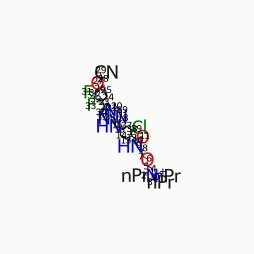 CCC[N+](CCC)(CCC)CCOCCNC(=O)c1ccc(Nc2nccn3c(-c4ccc(OCC#N)c(F)c4F)cnc23)cc1Cl